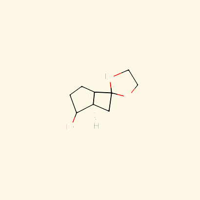 OC1CC[C@@H]2[C@H]1CC21OCCO1